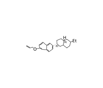 C=CCOc1ccc2cc([C@@H]3CC[C@@H]4CC(CC)CCC4C3)ccc2c1